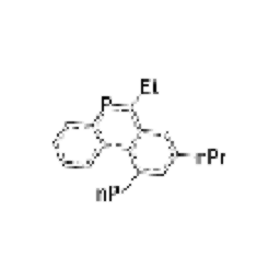 CCCc1cc(CCC)c2c(c1)c(CC)pc1ccccc12